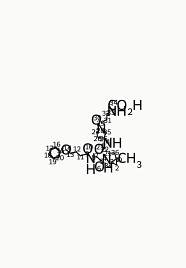 C[C@@]12C[C@@H]1N(C(=O)CNC(=O)CCCOc1ccccc1)[C@H](C(=O)NC1CCN(C(=O)CCNC(=O)O)C1)C2